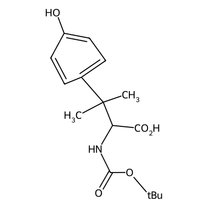 CC(C)(C)OC(=O)NC(C(=O)O)C(C)(C)c1ccc(O)cc1